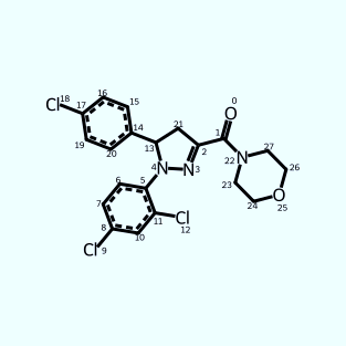 O=C(C1=NN(c2ccc(Cl)cc2Cl)C(c2ccc(Cl)cc2)C1)N1CCOCC1